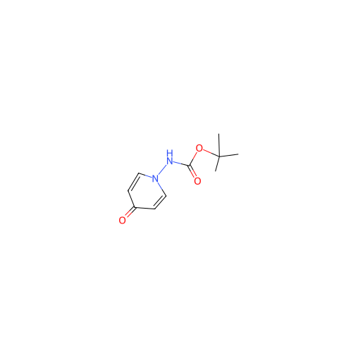 CC(C)(C)OC(=O)Nn1ccc(=O)cc1